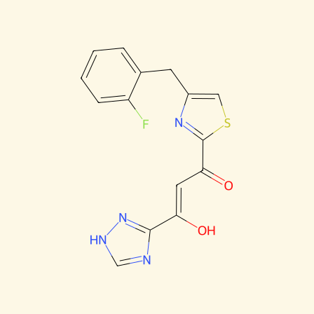 O=C(C=C(O)c1nc[nH]n1)c1nc(Cc2ccccc2F)cs1